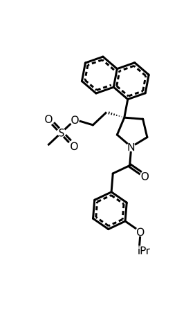 CC(C)Oc1cccc(CC(=O)N2CC[C@](CCOS(C)(=O)=O)(c3cccc4ccccc34)C2)c1